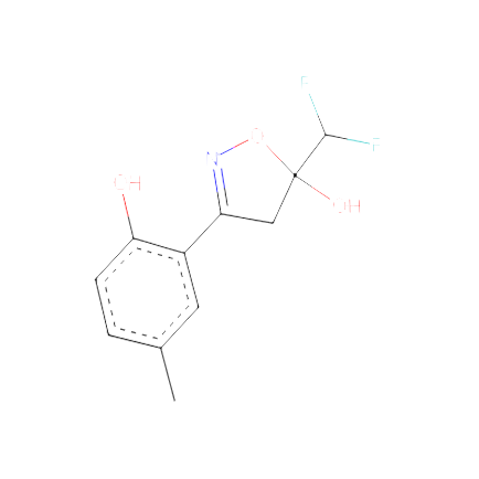 Cc1ccc(O)c(C2=NOC(O)(C(F)F)C2)c1